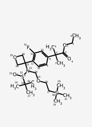 CCOC(=O)C(C)(C)c1ccc(C2(N(COCC[Si](C)(C)C)[S+]([O-])C(C)(C)C)COC2)c(F)c1